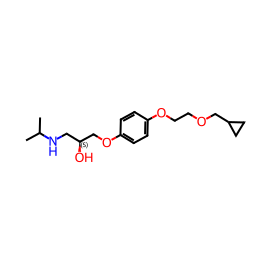 CC(C)NC[C@H](O)COc1ccc(OCCOCC2CC2)cc1